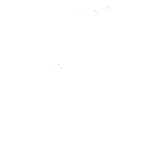 CCCCCCCCCCCCCCCCCCCN(C)C.Cl.N